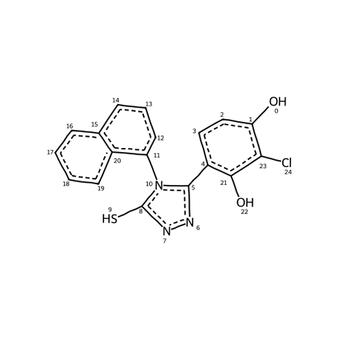 Oc1ccc(-c2nnc(S)n2-c2cccc3ccccc23)c(O)c1Cl